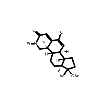 CCN1C[C@@]2(C)C(=CC1=O)C(Cl)=C[C@@H]1[C@@H]2CC[C@@]2(C)[C@H]1CC[C@]2(OC(C)=O)C(C)=O